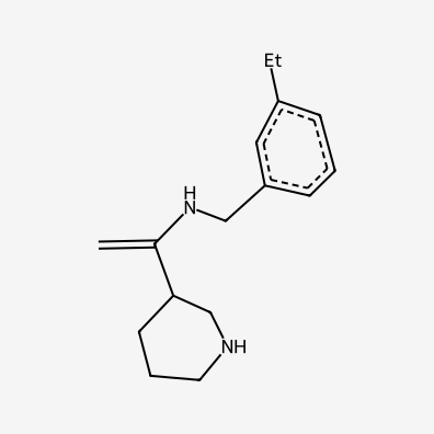 C=C(NCc1cccc(CC)c1)C1CCCNC1